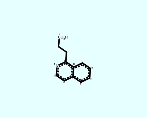 O=C(O)CCc1nccc2ccccc12